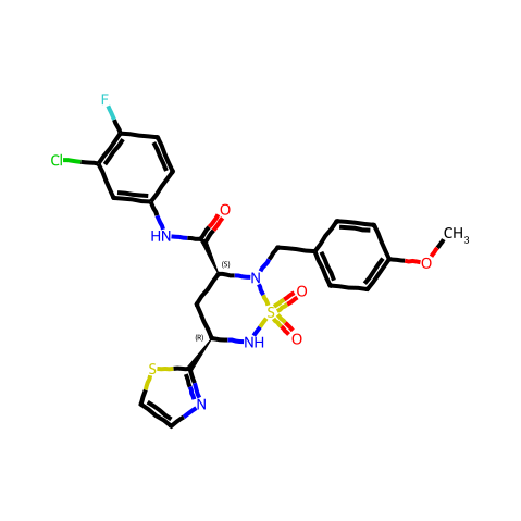 COc1ccc(CN2[C@H](C(=O)Nc3ccc(F)c(Cl)c3)C[C@H](c3nccs3)NS2(=O)=O)cc1